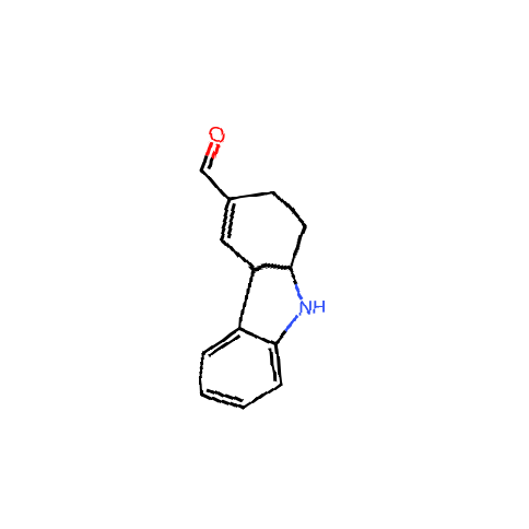 O=CC1=CC2c3ccccc3NC2CC1